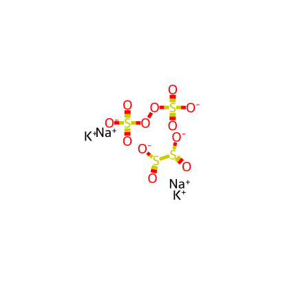 O=S(=O)([O-])OOS(=O)(=O)[O-].O=S([O-])S(=O)[O-].[K+].[K+].[Na+].[Na+]